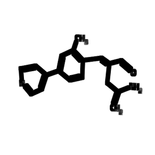 C=C(N)C/C(C=O)=C\c1ccc(-c2ccncc2)cc1C